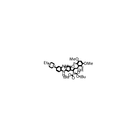 CCN1CCN(c2ccc(Nc3cc4c(N(C(=O)OC(C)(C)C)C(=O)OC(C)(C)C)c(C(O)c5c(F)c(OC)cc(OC)c5F)oc4cn3)c(NC)c2)CC1